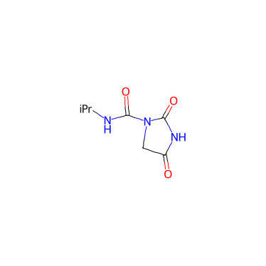 CC(C)NC(=O)N1CC(=O)NC1=O